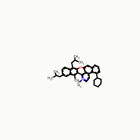 Cc1c2c(c(CC(C)C)c3ccc(CC(C)C)cc13)Oc1cc3cccc(C4CCCCC4)c3c3cc[n+](C)c-2c13